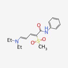 CCN(C=CC=C(C(=O)Nc1ccccc1)S(C)(=O)=O)CC